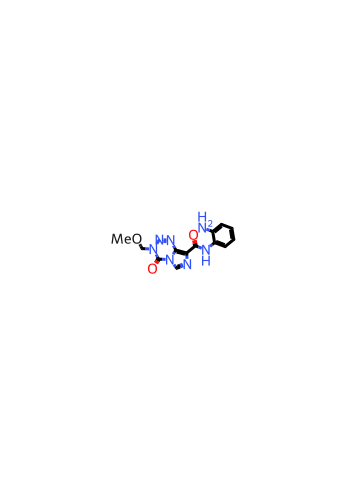 COCn1nnc2c(C(=O)Nc3ccccc3N)ncn2c1=O